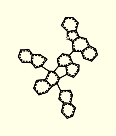 c1ccc2cc(-c3c4c(c(-c5ccc6ccccc6c5)c5ccccc35)-c3ccc(-c5c6ccccc6cc6c5sc5ccccc56)c5cccc-4c35)ccc2c1